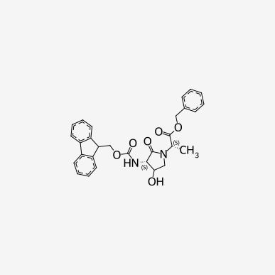 C[C@@H](C(=O)OCc1ccccc1)N1CC(O)[C@H](NC(=O)OCC2c3ccccc3-c3ccccc32)C1=O